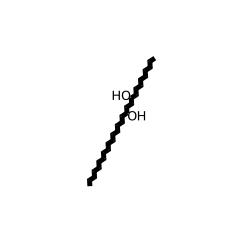 CCCCCCCCCCCCCCCCC(O)CCC(O)CCCCCCCCC